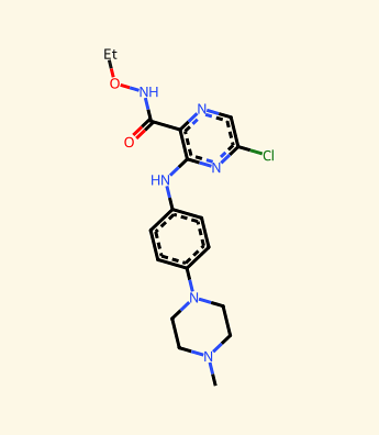 CCONC(=O)c1ncc(Cl)nc1Nc1ccc(N2CCN(C)CC2)cc1